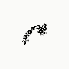 C=CC(=O)Nc1cncc(S(=O)(=O)c2ccc(N3CC(CN4CCC([C@@](CN5CCC5)(c5cccc(F)c5)[C@H]5CCC[C@@H]5NC(=O)O)CC4)C3)cc2)c1